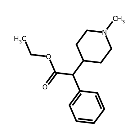 CCOC(=O)C(c1ccccc1)C1CCN(C)CC1